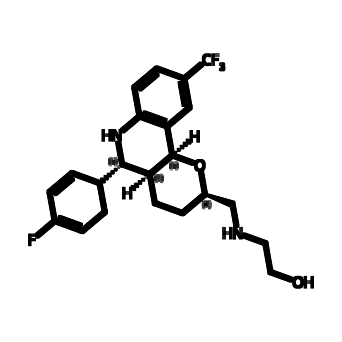 OCCNC[C@H]1CC[C@@H]2[C@H](O1)c1cc(C(F)(F)F)ccc1N[C@H]2C1C=CC(F)=CC1